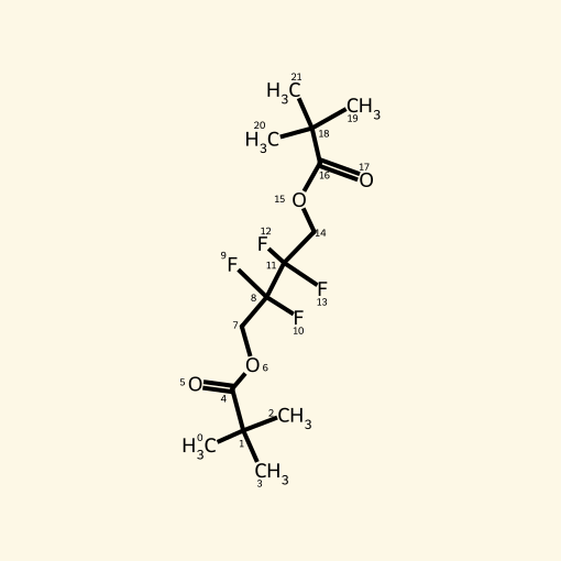 CC(C)(C)C(=O)OCC(F)(F)C(F)(F)COC(=O)C(C)(C)C